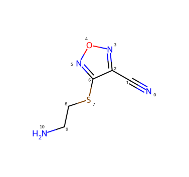 N#Cc1nonc1SCCN